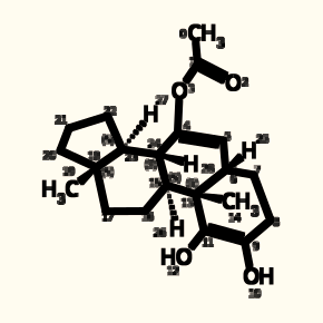 CC(=O)OC1=C[C@@H]2CCC(O)=C(O)[C@]2(C)[C@H]2CC[C@]3(C)CCC[C@H]3[C@H]12